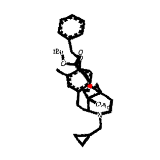 CC(=O)OC12CCN(C(=O)OC(C)(C)C)CCC13CCN(CC1CC1)C2Cc1cc(C)c(OCc2ccccc2)cc13